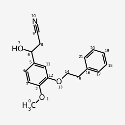 COc1ccc(C(O)CC#N)cc1OCCc1ccccc1